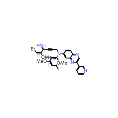 CC/C=C(OC)\C(C#CCN(/C(C)=C/C(=C\C(C)OC)OC)c1ccc2ncc(-c3cccnc3)nc2c1)=N/C